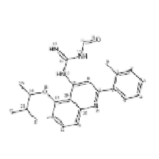 Cc1ccccc1-c1cc(NC(=N)NC=O)c2c(OC(C)C(C)C)cccc2n1